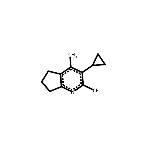 Cc1c2c(nc(C(F)(F)F)c1C1CC1)CCC2